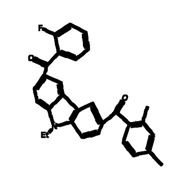 CCn1c2ccc(C(=O)c3ccc(C)cc3C)cc2c2cc(C(=O)c3ccccc3F)ccc21